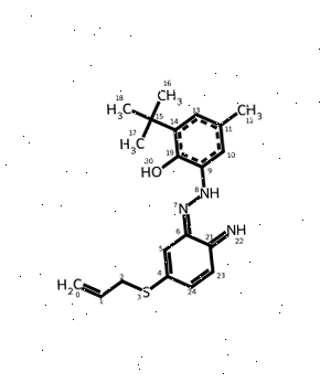 C=CCSC1=C/C(=N/Nc2cc(C)cc(C(C)(C)C)c2O)C(=N)C=C1